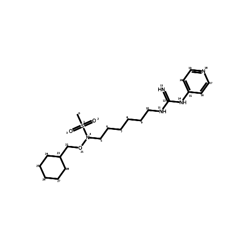 CS(=O)(=O)N(CCCCCCNC(=N)Nc1ccncc1)OCC1CCCCC1